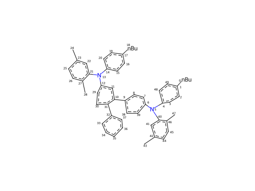 CCCCc1ccc(N(c2ccc(-c3cc(N(c4ccc(CCCC)cc4)c4cc(C)ccc4C)ccc3-c3ccccc3)cc2)c2cc(C)ccc2C)cc1